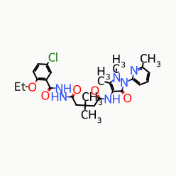 CCOc1ccc(Cl)cc1C(=O)NNC(=O)CC(C)(C)CC(=O)Nc1c(C)n(C)n(-c2cccc(C)n2)c1=O